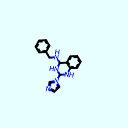 c1ccc(CNC2NC(n3ccnc3)Nc3ccccc32)cc1